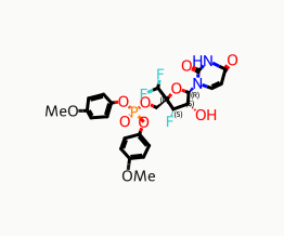 COc1ccc(OP(=O)(OC[C@@]2(C(F)F)O[C@@H](n3ccc(=O)[nH]c3=O)[C@H](O)[C@@H]2F)Oc2ccc(OC)cc2)cc1